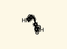 O=c1ccn(-c2ccc(C#CCN3CCOC4(CCNCC4)C3)cc2)c(=O)[nH]1